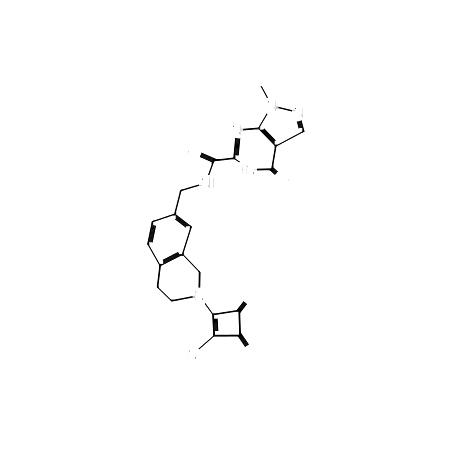 Cn1ncc2c(=O)[nH]c(C(=O)NCc3ccc4c(c3)CN(c3c(N)c(=O)c3=O)CC4)nc21